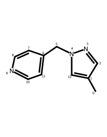 Cc1cnn(Cc2ccncc2)c1